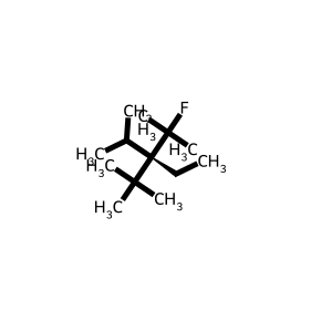 CC[C@](C(C)C)(C(C)(C)C)C(C)(C)F